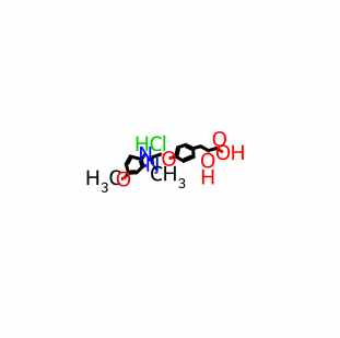 COc1ccc2nc(COc3ccc(CC(O)C(=O)O)cc3)n(C)c2c1.Cl